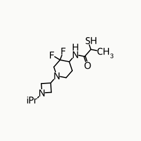 CC(S)C(=O)NC1CCN(C2CN(C(C)C)C2)CC1(F)F